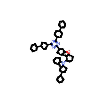 c1ccc(-c2ccc(-c3nc(-c4ccc(-c5ccccc5)cc4)nc(-c4ccc5c(c4)oc4cccc(-n6c7ccccc7c7cc(-c8ccccc8)ccc76)c45)n3)cc2)cc1